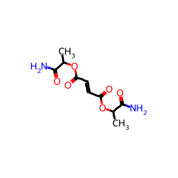 CC(OC(=O)/C=C/C(=O)OC(C)C(N)=O)C(N)=O